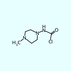 CN1CCN(NC(=O)Cl)CC1